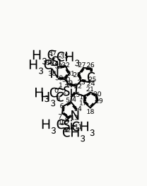 CC[Si]1(C)C(c2ccc([Si](C)(C)C)nc2)=C(c2ccccc2)C(c2ccccc2)=C1c1ccc([Si](C)(C)C)nc1